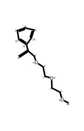 C=C(COCCOCCOC)c1ccccc1